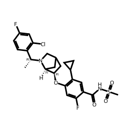 C[C@H](c1ccc(F)cc1Cl)N1CC2C[C@@H](Oc3cc(F)c(C(=O)NS(C)(=O)=O)cc3C3CC3)[C@@H]1C2